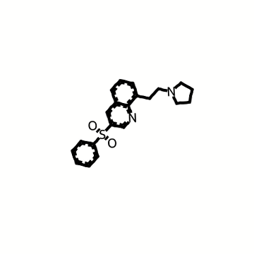 O=S(=O)(c1ccccc1)c1cnc2c(CCN3CCCC3)cccc2c1